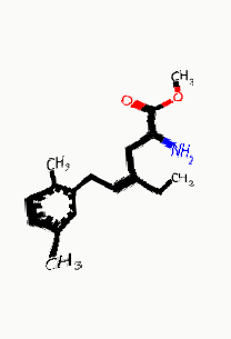 CCC(CCc1cc(C)ccc1C)CC(N)C(=O)OC